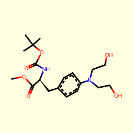 COC(=O)[C@H](Cc1ccc(N(CCO)CCO)cc1)NC(=O)OC(C)(C)C